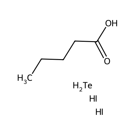 CCCCC(=O)O.I.I.[TeH2]